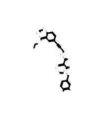 CCOc1ncnc2ccc(C#CCNC(=O)c3cncn(Cc4ccc(F)c(F)c4)c3=O)cc12